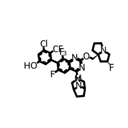 Oc1cc(Cl)c(C(F)(F)F)c(-c2c(F)cc3c(N4CC5CCC(C4)N5)nc(OC[C@@]45CCCN4C[C@H](F)C5)nc3c2F)c1